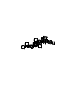 CCOC(COc1c(Cl)cc(OCC=C(Cl)Cl)cc1Cl)=NOC(C)(C)C